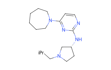 CC(C)CN1CC[C@@H](Nc2nccc(N3CCCCCC3)n2)C1